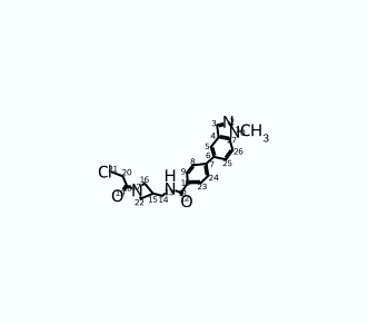 Cn1ncc2cc(-c3ccc(C(=O)NCC4CN(C(=O)CCl)C4)cc3)ccc21